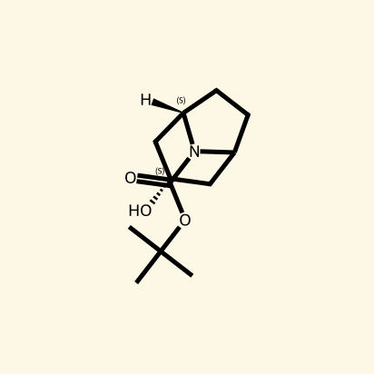 CC(C)(C)OC(=O)N1C2CC[C@H]1C[C@@H](O)C2